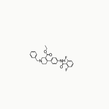 CCOC(=O)C1=C(c2ccc(NC(=O)c3c(F)cccc3F)cc2)CCN(Cc2ccccc2)C1